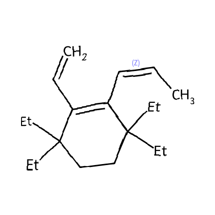 C=CC1=C(/C=C\C)C(CC)(CC)CCC1(CC)CC